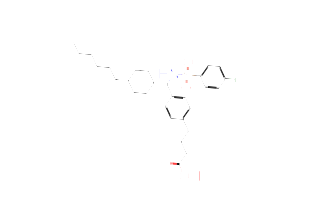 CCCCCC[C@H]1CC[C@H](C(NS(=O)(=O)c2ccc(Cl)cc2)c2ccc(CCCC(=O)O)cc2)CC1